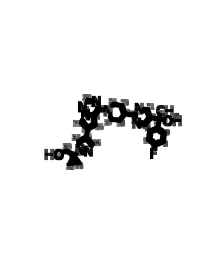 CC(O)(c1ccc(F)cc1)c1cnc(C2=CCN(c3ncnn4cc(-c5cnn(C6(CO)CC6)c5)cc34)CC2)nc1